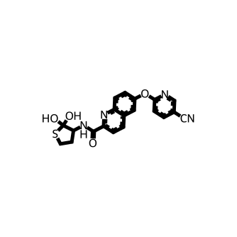 N#Cc1ccc(Oc2ccc3nc(C(=O)NC4CCSC4(O)O)ccc3c2)nc1